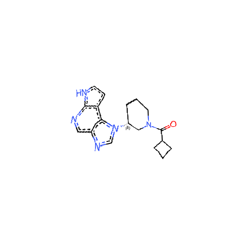 O=C(C1CCC1)N1CCC[C@@H](n2cnc3cnc4[nH]ccc4c32)C1